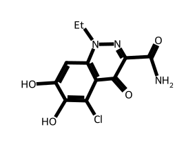 CCn1nc(C(N)=O)c(=O)c2c(Cl)c(O)c(O)cc21